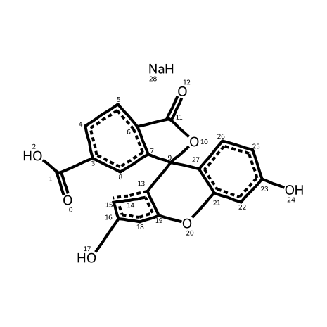 O=C(O)c1ccc2c(c1)C1(OC2=O)c2ccc(O)cc2Oc2cc(O)ccc21.[NaH]